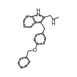 CNCc1[nH]c2ccccc2c1Cc1ccc(OCc2ccccc2)cc1